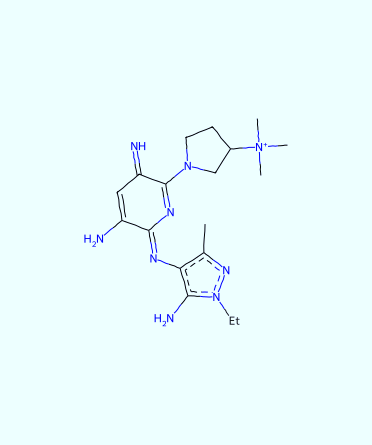 CCn1nc(C)c(/N=C2\N=C(N3CCC([N+](C)(C)C)C3)C(=N)C=C2N)c1N